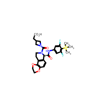 CS(C)(C)c1c(F)cc(NC(=O)[C@H]2c3ccc4c(c3CCN2C(=O)N2CC(CC(=O)O)C2)OCCO4)cc1F